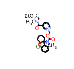 CCOC(=O)CN(C)C(=O)c1ccc[n+](COC(=O)N(C)[C@]2(c3ccccc3Cl)CCCCC2=O)c1